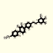 CCCc1ccc(-c2ccc(-c3ccc(CCc4cc(F)c(F)c(F)c4)cc3)c(F)c2F)cc1